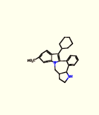 O=C(O)c1ccc2c(C3CCCCC3)c3n(c2c1)CC1CCNC1c1ccccc1-3